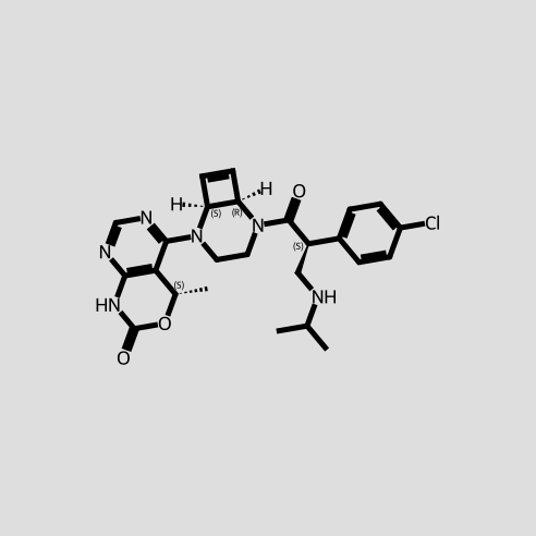 CC(C)NC[C@@H](C(=O)N1CCN(c2ncnc3c2[C@H](C)OC(=O)N3)[C@H]2C=C[C@H]21)c1ccc(Cl)cc1